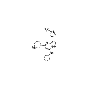 Cn1cc(-c2cnn3c(NC4CCCC4)cc(C4CCCNC4)nc23)cn1